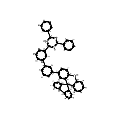 c1ccc(-c2nc(-c3ccccc3)nc(-c3cccc(-c4cccc(-c5ccc6c(c5)C5(c7ccccc7O6)c6ccccc6-c6ccccc65)c4)c3)n2)cc1